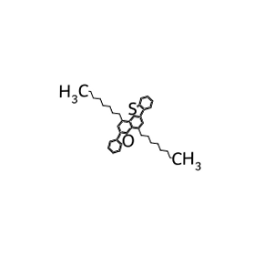 CCCCCCCCc1cc2c3ccccc3sc2c2c(CCCCCCCC)cc3c4ccccc4oc3c12